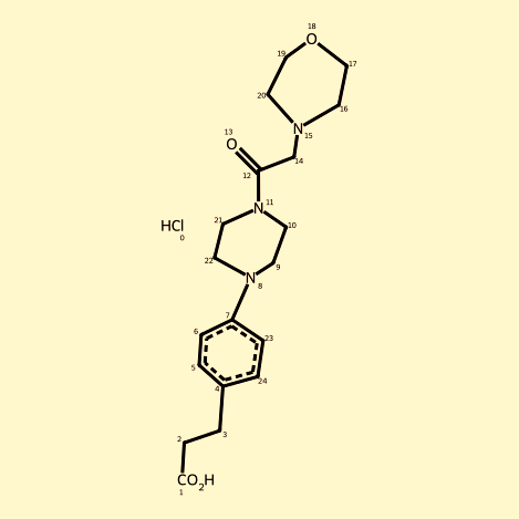 Cl.O=C(O)CCc1ccc(N2CCN(C(=O)CN3CCOCC3)CC2)cc1